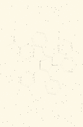 CC(C)c1ccc(C23OC(c4ccccc4)(C(c4ccccc4)=C2c2ccccc2)C(c2ccccc2)=C3c2ccccc2)cc1